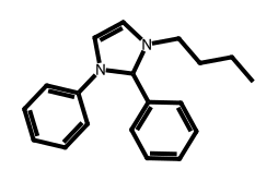 CCCCN1C=CN(c2ccccc2)C1c1ccccc1